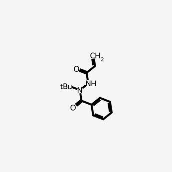 C=CC(=O)NN(C(=O)c1ccccc1)C(C)(C)C